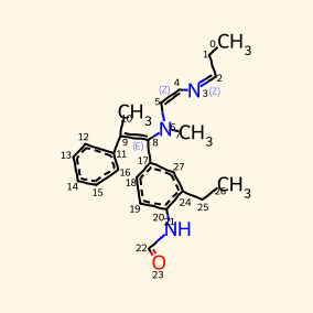 CC/C=N\C=C/N(C)/C(=C(\C)c1ccccc1)c1ccc(NC=O)c(CC)c1